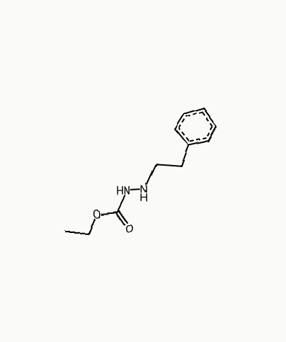 CCOC(=O)NNCCc1ccccc1